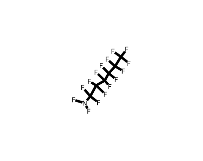 FN(F)C(F)(F)C(F)(F)C(F)(F)C(F)(F)C(F)(F)C(F)(F)F